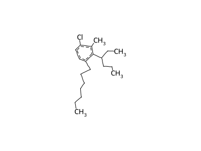 CCCCCCCc1ccc(Cl)c(C)c1C(CC)CCC